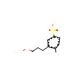 COCCCc1cc(S(=O)(=O)O)ccc1C